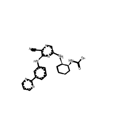 N#Cc1ncc(N[C@@H]2CCCC[C@@H]2NC(=O)O)nc1Nc1cccc(-c2ncccn2)c1